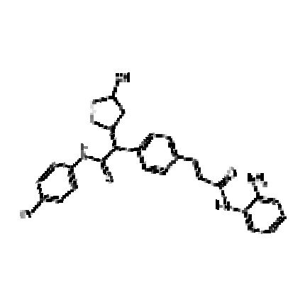 CC(C)c1ccc(NC(=O)C(c2ccc(C=CC(=O)Nc3ccccc3N)cc2)N2CCC(O)C2)cc1